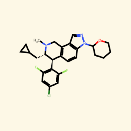 CN1Cc2c(ccc3c2cnn3C2CCCCO2)[C@@H](c2c(F)cc(Cl)cc2F)[C@@H]1CC1CC1